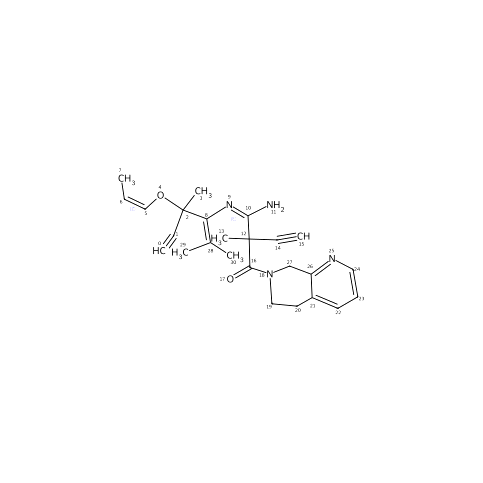 C#CC(C)(O/C=C\C)C(/N=C(/N)C(C)(C#C)C(=O)N1CCc2cccnc2C1)=C(C)C